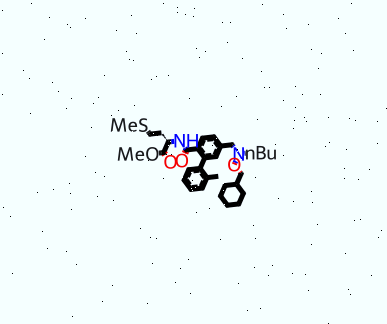 CCCCN(Cc1ccc(C(=O)N[C@@H](CCSC)C(=O)OC)c(-c2ccccc2C)c1)OCC1CCCCC1